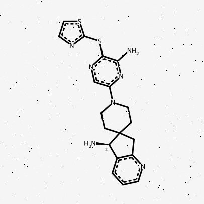 Nc1nc(N2CCC3(CC2)Cc2ncccc2[C@H]3N)cnc1Sc1nccs1